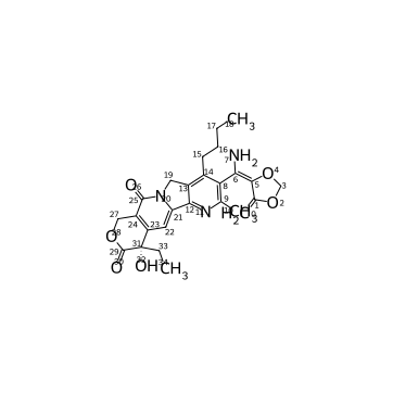 C=C1OCO/C1=C(\N)c1c(C)nc2c(c1CCCC)Cn1c-2cc2c(c1=O)COC(=O)[C@]2(O)CC